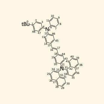 CC(C)(C)c1ccc(N(c2ccccc2)c2ccc(/C=C/c3ccc(N(c4cccc5ccccc45)c4cccc5ccccc45)cc3)cc2)cc1